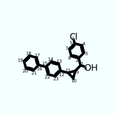 OC(c1ccc(Cl)cc1)C1CC1c1ccc(-c2ccccc2)cc1